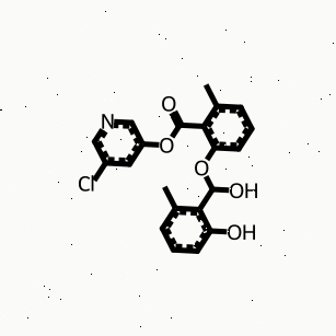 Cc1cccc(OC(O)c2c(C)cccc2O)c1C(=O)Oc1cncc(Cl)c1